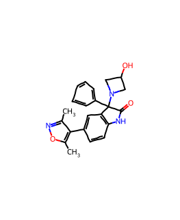 Cc1noc(C)c1-c1ccc2c(c1)C(c1ccccc1)(N1CC(O)C1)C(=O)N2